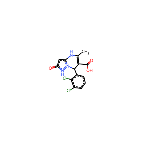 CC1=C(C(=O)O)C(c2cccc(Cl)c2Cl)n2[nH]c(=O)cc2N1